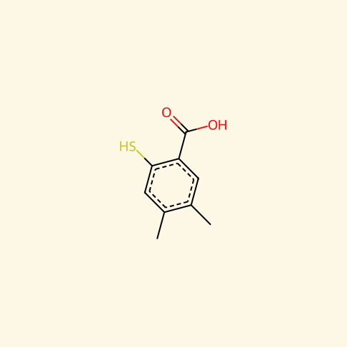 Cc1cc(S)c(C(=O)O)cc1C